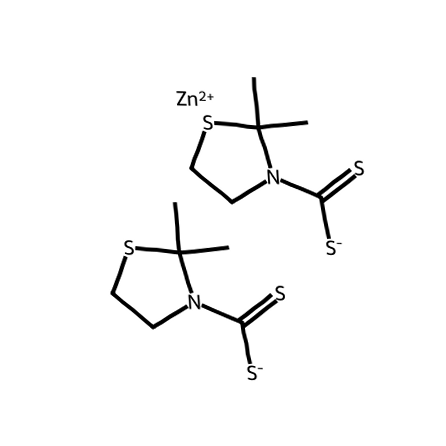 CC1(C)SCCN1C(=S)[S-].CC1(C)SCCN1C(=S)[S-].[Zn+2]